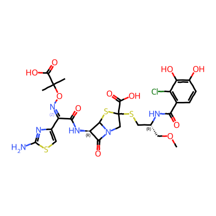 COC[C@H](CSC1(C(=O)O)CN2C(=O)[C@@H](NC(=O)/C(=N\OC(C)(C)C(=O)O)c3csc(N)n3)C2S1)NC(=O)c1ccc(O)c(O)c1Cl